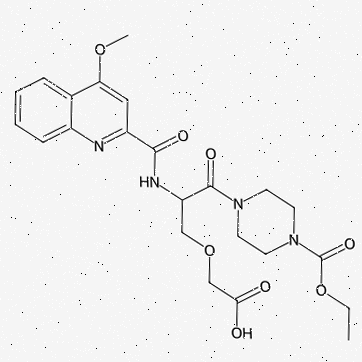 CCOC(=O)N1CCN(C(=O)C(COCC(=O)O)NC(=O)c2cc(OC)c3ccccc3n2)CC1